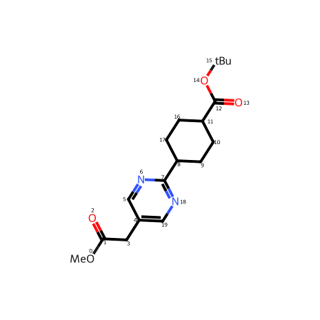 COC(=O)Cc1cnc(C2CCC(C(=O)OC(C)(C)C)CC2)nc1